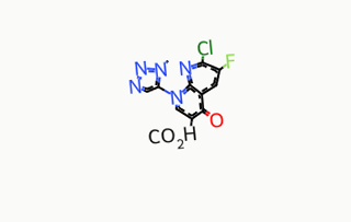 Cn1nncc1-n1cc(C(=O)O)c(=O)c2cc(F)c(Cl)nc21